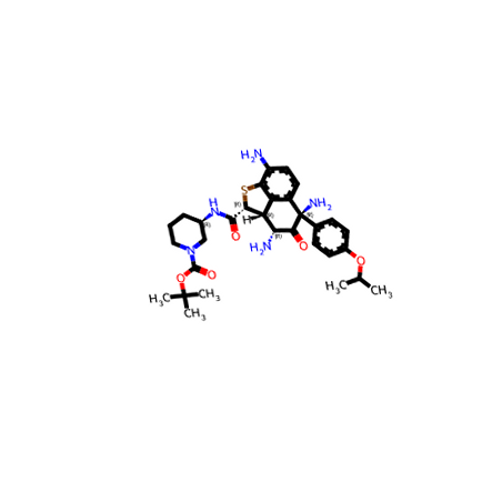 CC(C)Oc1ccc([C@]2(N)C(=O)[C@H](N)[C@H]3c4c2ccc(N)c4S[C@H]3C(=O)N[C@@H]2CCCN(C(=O)OC(C)(C)C)C2)cc1